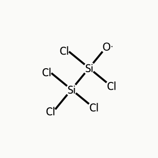 [O][Si](Cl)(Cl)[Si](Cl)(Cl)Cl